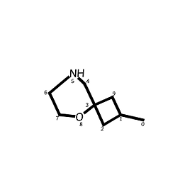 CC1CC2(CNCCO2)C1